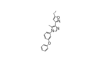 CCc1cc(-c2ncn(-c3cccc(Oc4ccccc4)c3)c2C)no1